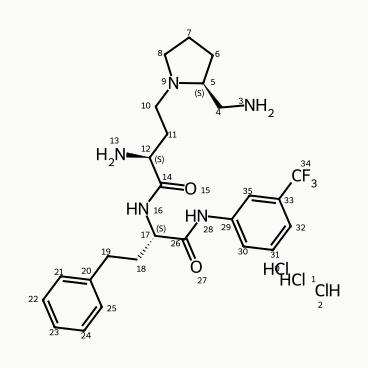 Cl.Cl.Cl.NC[C@@H]1CCCN1CC[C@H](N)C(=O)N[C@@H](CCc1ccccc1)C(=O)Nc1cccc(C(F)(F)F)c1